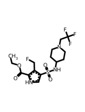 CCOC(=O)c1[nH]cc(S(=O)(=O)NC2CCN(CC(F)(F)F)CC2)c1CF